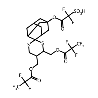 O=C(OCC1CSC2(SC1COC(=O)C(F)(F)C(F)(F)F)C1CC3CC2CC(OC(=O)C(F)(F)S(=O)(=O)O)(C3)C1)C(F)(F)C(F)(F)F